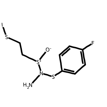 NN(Sc1ccc(F)cc1)[S+]([O-])CCSI